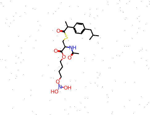 CC(=O)NC(CSC(=O)C(C)c1ccc(CC(C)C)cc1)C(=O)OCCCCON(O)O